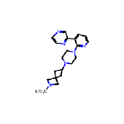 CCOC(=O)N1CC2(CC(N3CCN(c4ncccc4-c4cnccn4)CC3)C2)C1